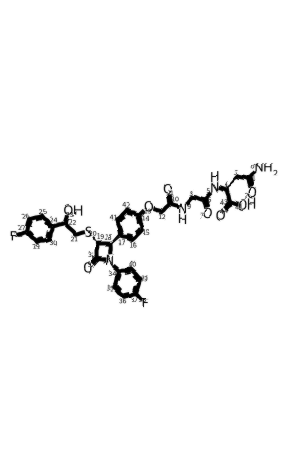 NC(=O)C[C@H](NC(=O)CNC(=O)COc1ccc([C@@H]2[C@@H](SCC(O)c3ccc(F)cc3)C(=O)N2c2ccc(F)cc2)cc1)C(=O)O